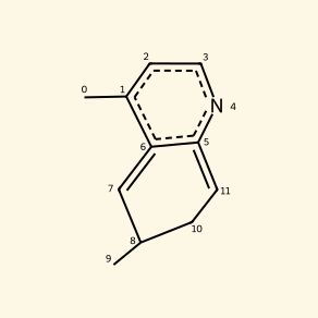 Cc1ccnc2c1=CC(C)CC=2